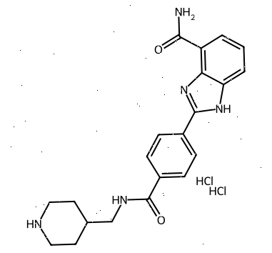 Cl.Cl.NC(=O)c1cccc2[nH]c(-c3ccc(C(=O)NCC4CCNCC4)cc3)nc12